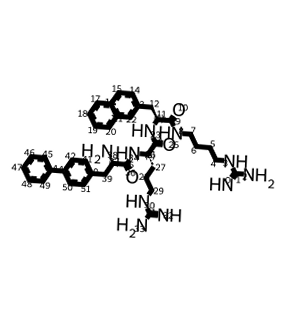 N=C(N)NCCCCNC(=O)[C@H](Cc1ccc2ccccc2c1)NC(=O)[C@H](CCCNC(=N)N)NC(=O)[C@@H](N)Cc1ccc(-c2ccccc2)cc1